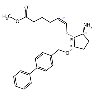 COC(=O)CCC/C=C\C[C@H]1[C@@H](OCc2ccc(-c3ccccc3)cc2)CC[C@@H]1N